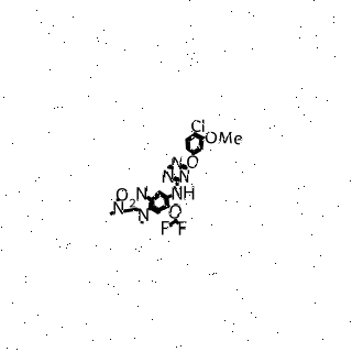 COc1cc(Oc2ncnc(Nc3cc([N+](=O)[O-])c(N(C)CCN(C)C)cc3OC(F)F)n2)ccc1Cl